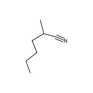 [CH2]CCCC(C)C#N